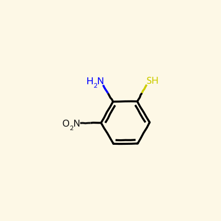 Nc1c(S)cccc1[N+](=O)[O-]